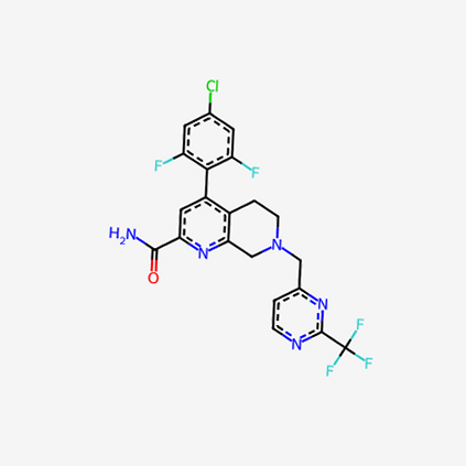 NC(=O)c1cc(-c2c(F)cc(Cl)cc2F)c2c(n1)CN(Cc1ccnc(C(F)(F)F)n1)CC2